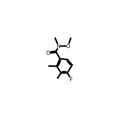 CON(C)C(=O)c1ccc(F)c(C)c1C